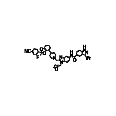 CC(C)c1n[nH]c2ccc(C(=O)Nc3ccc4c(c3)nc(CN3CC=C(c5cccc6c5OC(C)(c5ccc(C#N)cc5F)O6)CC3)n4C[C@@H]3CCO3)cc12